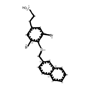 O=C(O)CCc1cc(Br)c(OCc2ccc3ccccc3c2)c(Br)c1